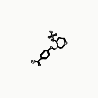 CCS(=O)(=O)N[C@H]1CCOC[C@@H]1COc1ccc(C(=O)C(F)(F)F)cc1